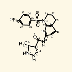 CC1NNSC1C(=O)Nc1ccc2c(c1)N(S(=O)(=O)c1ccc(F)cc1)CCC2